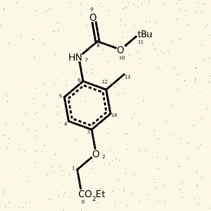 CCOC(=O)COc1ccc(NC(=O)OC(C)(C)C)c(C)c1